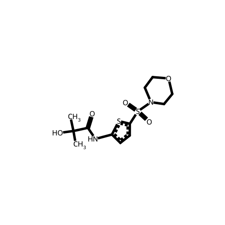 CC(C)(O)C(=O)Nc1ccc(S(=O)(=O)N2CCOCC2)s1